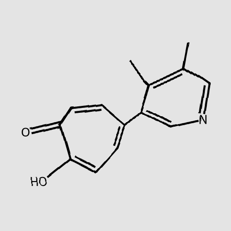 Cc1cncc(-c2ccc(O)c(=O)cc2)c1C